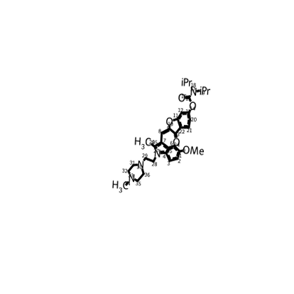 COc1ccc2c(c1)c(C=C1Oc3cc(OC(=O)N(C(C)C)C(C)C)ccc3C1=O)c(C)n2CCN1CCN(C)CC1